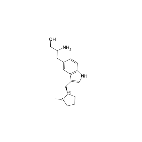 CN1CCC[C@@H]1Cc1c[nH]c2ccc(CC(N)CO)cc12